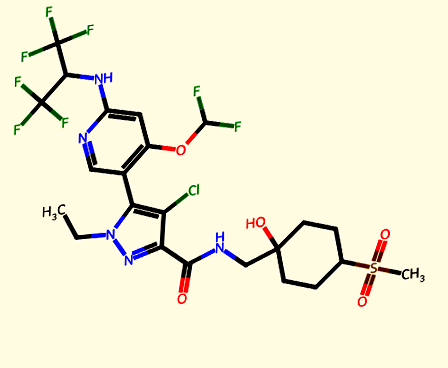 CCn1nc(C(=O)NCC2(O)CCC(S(C)(=O)=O)CC2)c(Cl)c1-c1cnc(NC(C(F)(F)F)C(F)(F)F)cc1OC(F)F